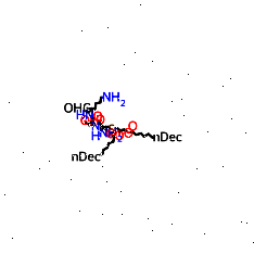 CCCCCCCCCCCCCCCC(=O)OCC(CSC[C@H](N)C(=O)N[C@@H](CO)C(=O)N[C@H]([C]=O)CCCCN)OC(=O)CCCCCCCCCCCCCCC